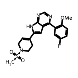 COc1ccc(F)cc1-c1ncnc2[nH]c(C3=CCN(S(C)(=O)=O)CC3)cc12